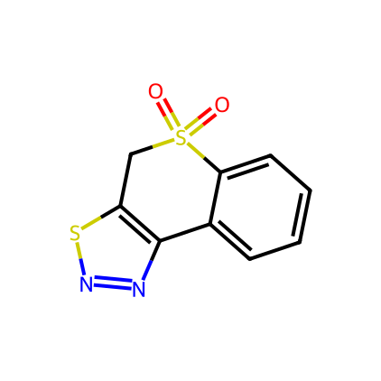 O=S1(=O)Cc2snnc2-c2ccccc21